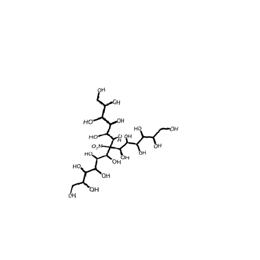 O=[N+]([O-])C(C(O)C(O)C(O)C(O)C(O)CO)(C(O)C(O)C(O)C(O)C(O)CO)C(O)C(O)C(O)C(O)C(O)CO